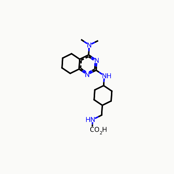 CN(C)c1nc(NC2CCC(CNC(=O)O)CC2)nc2c1CCCC2